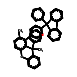 Cc1ccc2c(c1-c1ccc(C3(c4ccccc4)c4ccccc4-c4ccccc43)cc1)C(C)(c1ccccc1)c1ccccc1O2